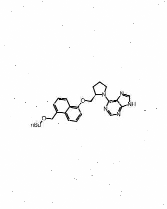 CCCCOCc1cccc2c(OC[C@H]3CCCN3c3ncnc4[nH]cnc34)cccc12